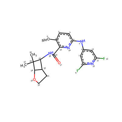 COc1ccc(Nc2cc(F)nc(F)c2)nc1C(=O)NC1C2CCOC2C1(C)C